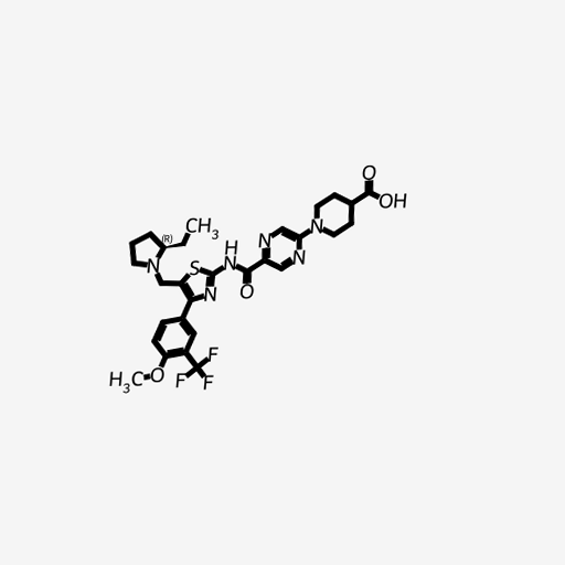 CC[C@@H]1CCCN1Cc1sc(NC(=O)c2cnc(N3CCC(C(=O)O)CC3)cn2)nc1-c1ccc(OC)c(C(F)(F)F)c1